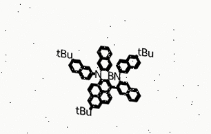 CC(C)(C)c1ccc2cc(N3B4c5cc6ccccc6cc5N(c5ccc6ccc(C(C)(C)C)cc6c5)c5c4c(c4ccc6cc(C(C)(C)C)cc7ccc5c4c67)-c4cc5ccccc5cc43)ccc2c1